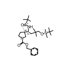 CC(C)(CO[Si](C)(C)C(C)(C)C)C[C@H](N[S@@+]([O-])C(C)(C)C)[C@]1(C)CCN(C(=O)OCc2ccccc2)C1